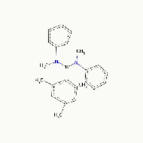 Cc1cc(C)c(B(N(C)c2ccccc2)N(C)c2ccccc2)c(C)c1